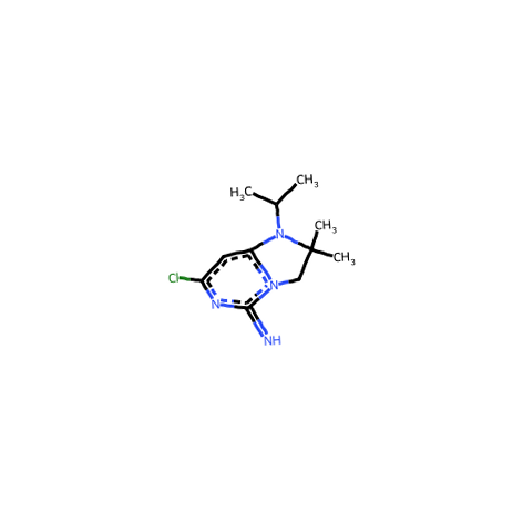 CC(C)N1c2cc(Cl)nc(=N)n2CC1(C)C